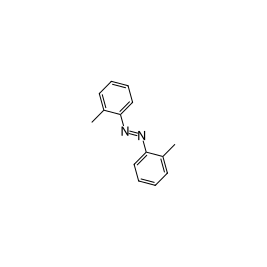 Cc1ccccc1/N=N/c1ccccc1C